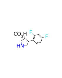 O=C(O)C1CNCC1c1ccc(F)cc1F